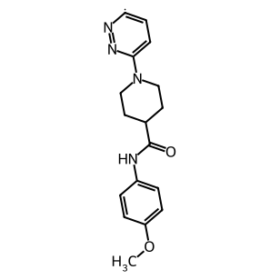 COc1ccc(NC(=O)C2CCN(c3cc[c]nn3)CC2)cc1